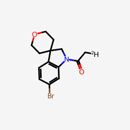 [2H]CC(=O)N1CC2(CCOCC2)c2ccc(Br)cc21